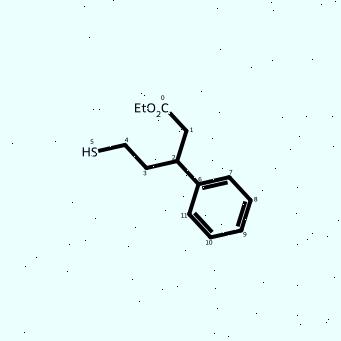 CCOC(=O)CC(CCS)c1ccccc1